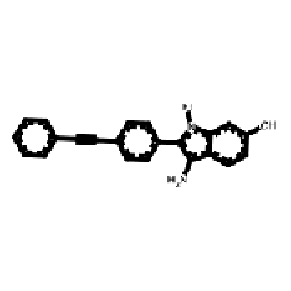 CCn1c(-c2ccc(C#Cc3ccccc3)cc2)c(N)c2ccc(O)cc21